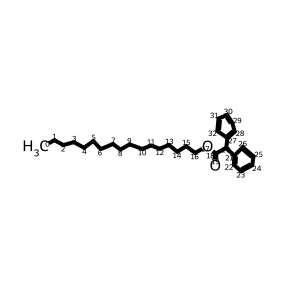 CCCCCCCCCCCCCCCCCOC(=O)C(c1ccccc1)c1ccccc1